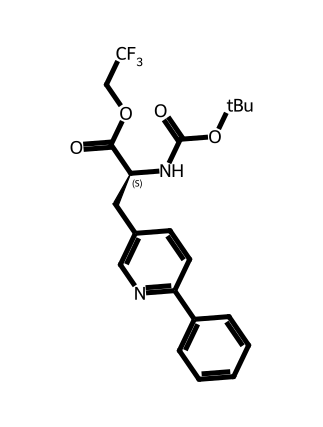 CC(C)(C)OC(=O)N[C@@H](Cc1ccc(-c2ccccc2)nc1)C(=O)OCC(F)(F)F